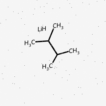 CC(C)C(C)C.[LiH]